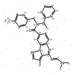 Cc1cnn2c1c(/N=C/N(C)C)nc1ccc(C(=O)N(Cc3ccc(C(F)(F)F)cn3)C(C)c3ncccn3)cc12